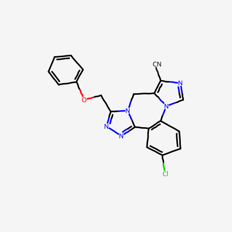 N#Cc1ncn2c1Cn1c(COc3ccccc3)nnc1-c1cc(Cl)ccc1-2